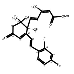 COC(=O)/C=C(C)\C=C\[C@@]1(O)C(/C=C/c2ccc(F)cc2F)=CC(=O)CC1(C)C